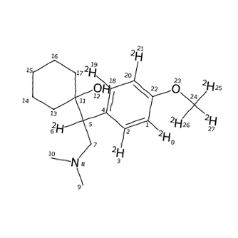 [2H]c1c([2H])c(C([2H])(CN(C)C)C2(O)CCCCC2)c([2H])c([2H])c1OC([2H])([2H])[2H]